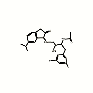 CC(=O)NC(Cc1cc(F)cc(F)c1)C(O)CNC1C(=O)Cc2ccc(C(C)C)cc21